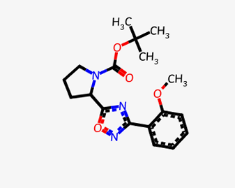 COc1ccccc1-c1noc(C2CCCN2C(=O)OC(C)(C)C)n1